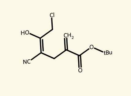 C=C(CC(C#N)=C(O)CCl)C(=O)OC(C)(C)C